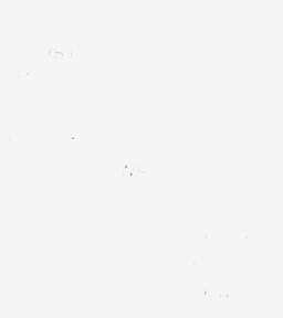 CC(C)(C)OC(=O)CCNCCC12OC1C2OC(C)(C)C